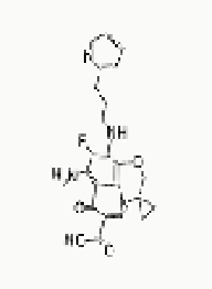 Nc1c(F)c(NCCCc2ccccn2)c2c3c1c(=O)c(C(=O)O)cn3C1(CC1)CO2